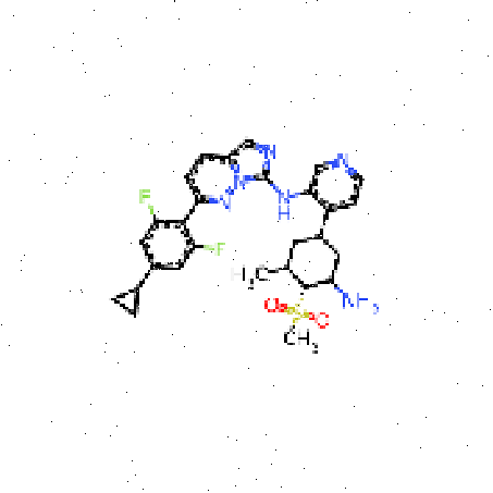 C[C@H]1C[C@@H](c2ccncc2Nc2ncc3ccc(-c4c(F)cc(C5CC5)cc4F)nn23)C[C@@H](N)[C@@H]1S(C)(=O)=O